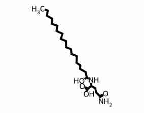 CCCCCCCCCCCCCCCCCCC(O)NC(CCC(N)=O)C(=O)O